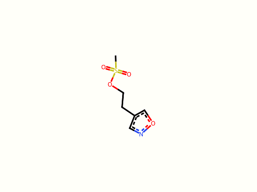 CS(=O)(=O)OCCc1cnoc1